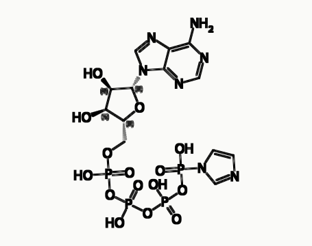 Nc1ncnc2c1ncn2[C@@H]1O[C@H](COP(=O)(O)OP(=O)(O)OP(=O)(O)OP(=O)(O)n2ccnc2)[C@@H](O)[C@H]1O